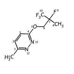 Cc1ccc(OCC(C)(F)C(F)(F)F)nn1